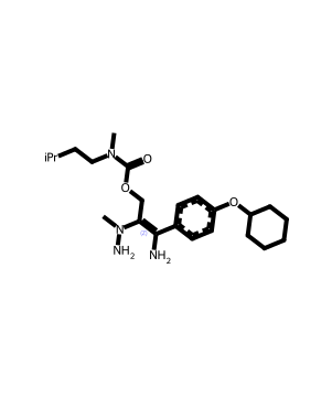 CC(C)CCN(C)C(=O)OC/C(=C(/N)c1ccc(OC2CCCCC2)cc1)N(C)N